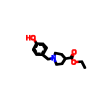 CCOC(=O)C1CCN(Cc2ccc(O)cc2)CC1